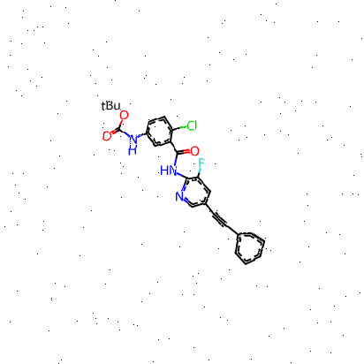 CC(C)(C)OC(=O)Nc1ccc(Cl)c(C(=O)Nc2ncc(C#Cc3ccccc3)cc2F)c1